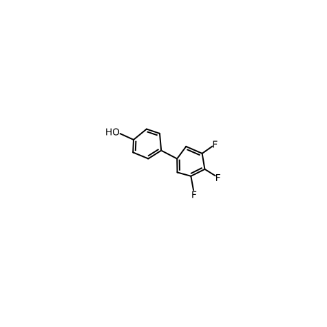 Oc1ccc(-c2cc(F)c(F)c(F)c2)cc1